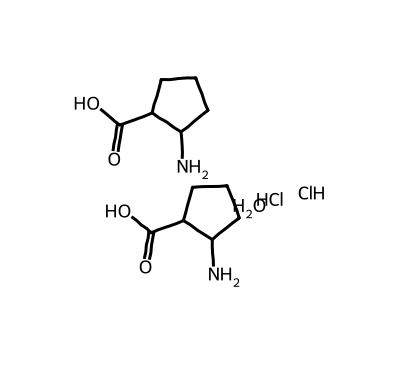 Cl.Cl.NC1CCCC1C(=O)O.NC1CCCC1C(=O)O.O